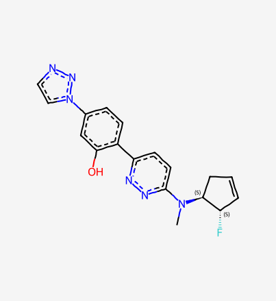 CN(c1ccc(-c2ccc(-n3ccnn3)cc2O)nn1)[C@H]1CC=C[C@@H]1F